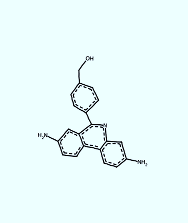 Nc1ccc2c(c1)nc(-c1ccc(CO)cc1)c1cc(N)ccc12